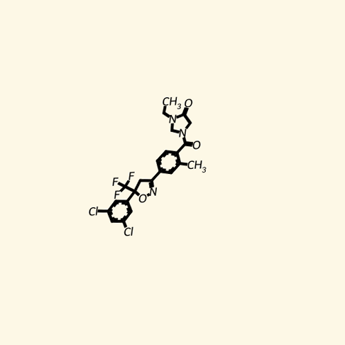 CCN1CN(C(=O)c2ccc(C3=NOC(c4cc(Cl)cc(Cl)c4)(C(F)(F)F)C3)cc2C)CC1=O